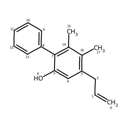 C=CCc1cc(O)c(-c2ccccc2)c(C)c1C